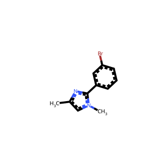 Cc1cn(C)c(-c2cccc(Br)c2)n1